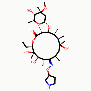 CC[C@H]1OC(=O)[C@H](C)[C@@H](O[C@H]2C[C@@](C)(OC)[C@@H](O)[C@H](C)O2)[C@H](C)[C@@H](C)[C@](C)(O)C[C@@H](C)C(=NOC2CCNC2)[C@H](C)[C@@H](O)[C@]1(C)O